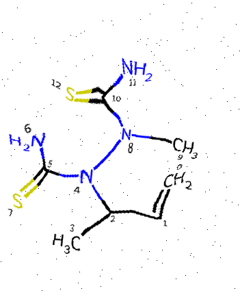 C=CC(C)N(C(N)=S)N(C)C(N)=S